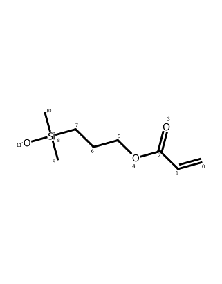 C=CC(=O)OCCC[Si](C)(C)[O]